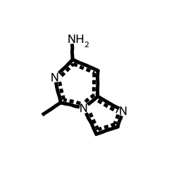 Cc1nc(N)cc2nccn12